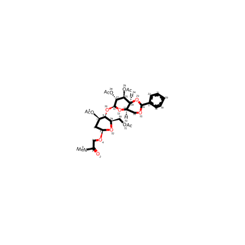 CNC(=O)CO[C@H]1C[C@@H](OC(C)=O)[C@H](O[C@@H]2O[C@@H]3COC(c4ccccc4)O[C@@H]3[C@H](OC(C)=O)[C@H]2OC(C)=O)[C@@H](COC(C)=O)O1